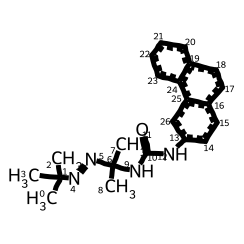 CC(C)(C)/N=N/C(C)(C)NC(=O)Nc1ccc2ccc3ccccc3c2c1